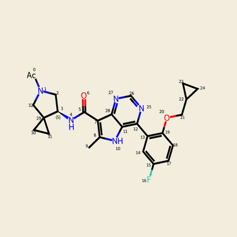 CC(=O)N1C[C@@H](NC(=O)c2c(C)[nH]c3c(-c4cc(F)ccc4OCC4CC4)ncnc23)C2(CC2)C1